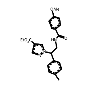 CCOC(=O)c1cnn(C(CNC(=O)c2ccc(OC)cc2)c2ccc(C)cc2)c1